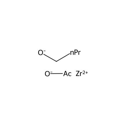 CC(=O)[O-].CCCC[O-].[Zr+2]